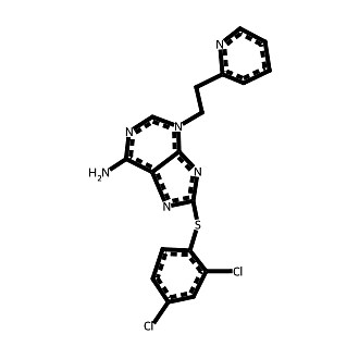 Nc1ncn(CCc2ccccn2)c2nc(Sc3ccc(Cl)cc3Cl)nc1-2